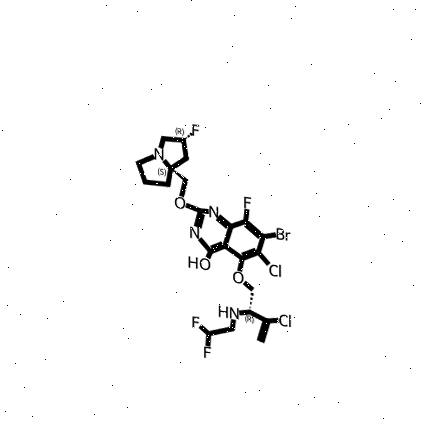 C=C(Cl)[C@@H](COc1c(Cl)c(Br)c(F)c2nc(OC[C@@]34CCCN3C[C@H](F)C4)nc(O)c12)NCC(F)F